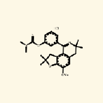 COc1cc2c(c3c1OC(C)(C)C3)C(c1cccc(OC(=S)N(C)C)c1)=NC(C)(C)C2.Cl